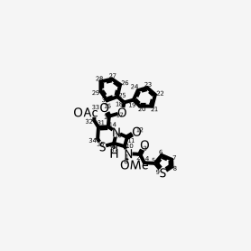 CON(C(=O)Cc1cccs1)C1C(=O)N2C(C(=O)OC(c3ccccc3)c3ccccc3)=C(COC(C)=O)CS[C@H]12